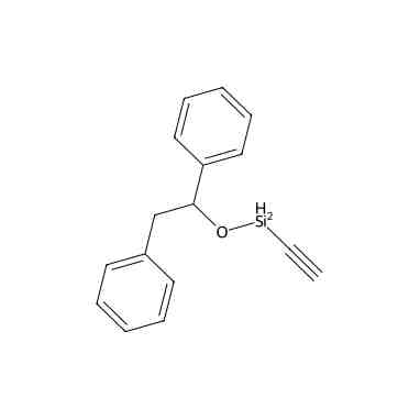 C#C[SiH2]OC(Cc1ccccc1)c1ccccc1